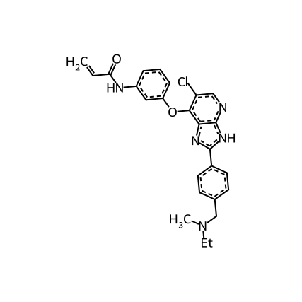 C=CC(=O)Nc1cccc(Oc2c(Cl)cnc3[nH]c(-c4ccc(CN(C)CC)cc4)nc23)c1